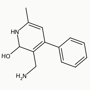 CC1=CC(c2ccccc2)=C(CN)C(O)N1